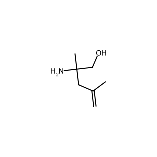 C=C(C)CC(C)(N)CO